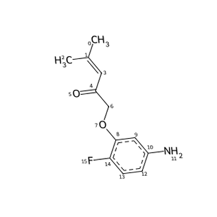 CC(C)=CC(=O)COc1cc(N)ccc1F